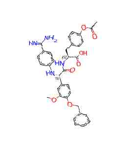 COc1cc([C@H](Nc2ccc(C(=N)N)cc2)C(=O)N[C@@H](Cc2ccc(OC(C)=O)cc2)C(=O)O)ccc1OCc1ccccc1